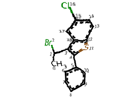 CC(Br)c1c(-c2ccccc2)sc2ccc(Cl)cc12